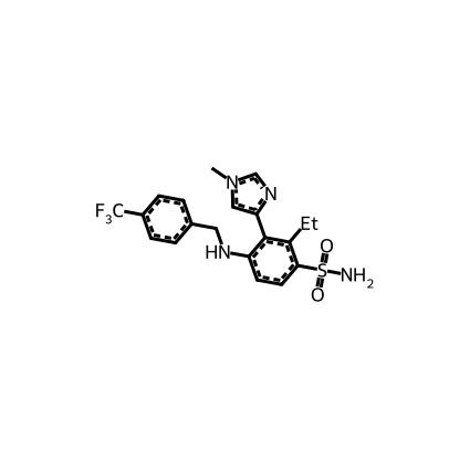 CCc1c(S(N)(=O)=O)ccc(NCc2ccc(C(F)(F)F)cc2)c1-c1cn(C)cn1